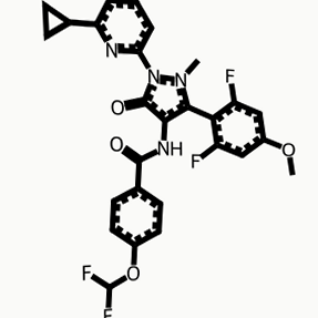 COc1cc(F)c(-c2c(NC(=O)c3ccc(OC(F)F)cc3)c(=O)n(-c3cccc(C4CC4)n3)n2C)c(F)c1